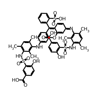 Cc1cc(C)c(NS(=O)(=O)c2cc(C(=O)O)ccc2O)c(C)c1/N=c1/ccc2c(-c3ccccc3S(=O)(=O)O)c3ccc(Nc4c(C)cc(C)c(NS(=O)(=O)c5cc(C(=O)O)ccc5O)c4C)cc3oc-2c1